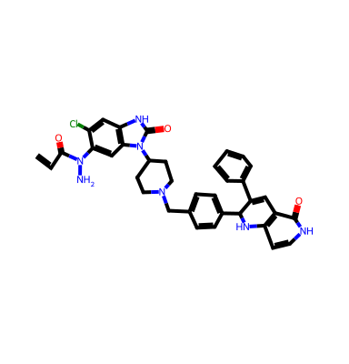 C=CC(=O)N(N)c1cc2c(cc1Cl)[nH]c(=O)n2C1CCN(Cc2ccc(C3Nc4cc[nH]c(=O)c4C=C3c3ccccc3)cc2)CC1